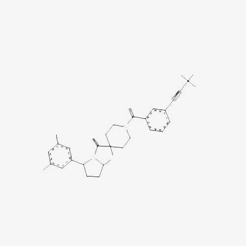 CC(C)(O)C#Cc1cccc(C(=O)N2CCC3(CC2)OC2CCC(c4cc(F)cc(F)c4)N2C3=O)c1